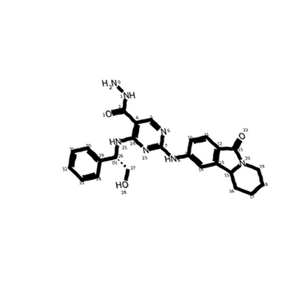 NNC(=O)c1cnc(Nc2ccc3c(c2)C2CCCCN2C3=O)nc1N[C@H](CO)c1ccccc1